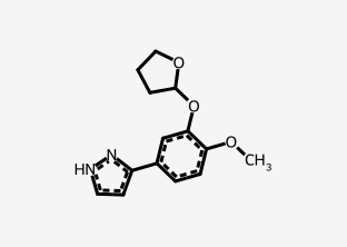 COc1ccc(-c2cc[nH]n2)cc1OC1CCCO1